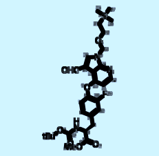 COC(=O)[C@H](Cc1ccc(Oc2ccnc3c2c(C=O)cn3COCC[Si](C)(C)C)c(F)c1)NC(=O)OC(C)(C)C